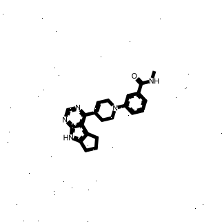 CNC(=O)c1cccc(N2CC=C(c3ncnc4[nH]c5c(c34)CCC5)CC2)c1